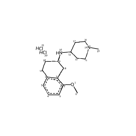 COc1cccc2c1CC(NC1CCN(C)CC1)CC2.Cl.Cl